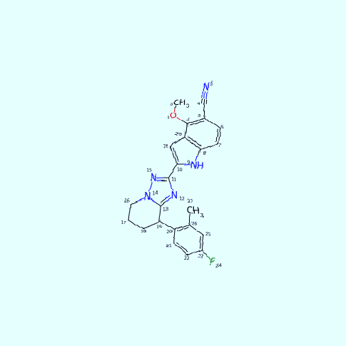 COc1c(C#N)ccc2[nH]c(-c3nc4n(n3)CCCC4c3ccc(F)cc3C)cc12